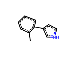 Cc1ccccc1-c1cc[nH]c1